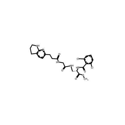 COC(=O)[C@H](CNC(=O)CNC(=O)CCc1ccc2c(n1)NCCC2)NC(=O)c1c(Cl)cccc1Cl